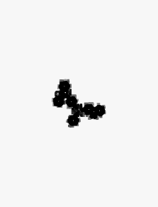 CC1(C)c2ccccc2-c2ccc(C3=NC(c4ccc(-c5nc6ccccc6c6oc7ccccc7c56)cc4)=NC(c4ccccc4)N3)cc21